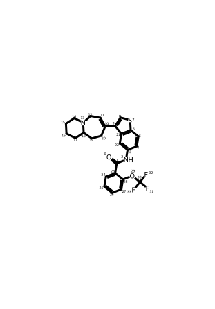 O=C(Nc1ccc2scc(C3=CCN4CCCCC4CC3)c2c1)c1ccccc1OC(F)(F)F